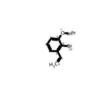 C=Cc1cccc(OCCC)c1Br